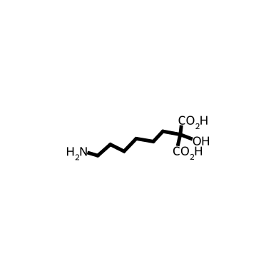 NCCCCCCC(O)(C(=O)O)C(=O)O